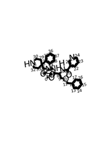 CS(=O)(=O)[N+]1(NC(=O)C(COCc2ccccc2)NC(=O)c2cccnc2)CC2(CCNCC2)c2ccccc21